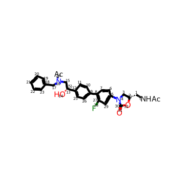 CC(=O)NC[C@H]1CN(c2ccc(-c3ccc([C@H](O)CN(Cc4ccccc4)C(C)=O)cc3)c(F)c2)C(=O)O1